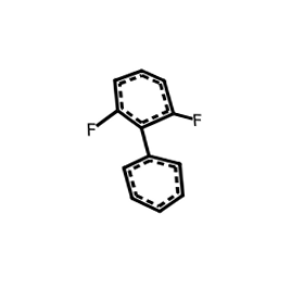 Fc1cccc(F)c1-c1ccccc1